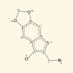 Clc1c(CBr)sc2cc3c(cc12)OCO3